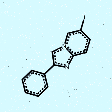 Ic1ccc2nc(-c3ccccc3)[c]n2c1